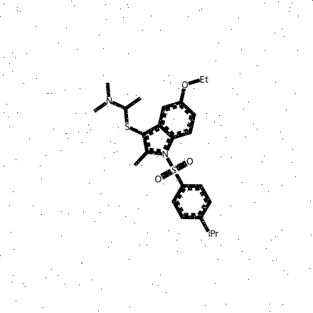 CCOc1ccc2c(c1)c(SC(C)N(C)C)c(C)n2S(=O)(=O)c1ccc(C(C)C)cc1